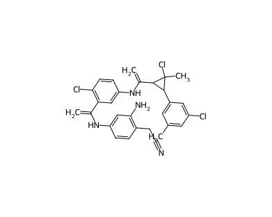 C=C(Nc1ccc(CC#N)c(N)c1)c1cc(NC(=C)C2C(c3cc(C)cc(Cl)c3)C2(C)Cl)ccc1Cl